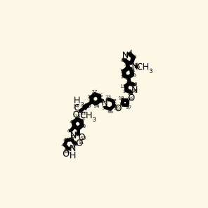 Cn1c2ccncc2c2ccc(-c3ccc(OC4CC(OC5CCN(c6cccc(C#CC(C)(C)Oc7ccc8c(c7)CN(C7CCC(=O)NC7=O)C8=O)c6)CC5)C4)nc3)cc21